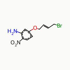 Nc1cc(OCC=CCBr)ccc1[N+](=O)[O-]